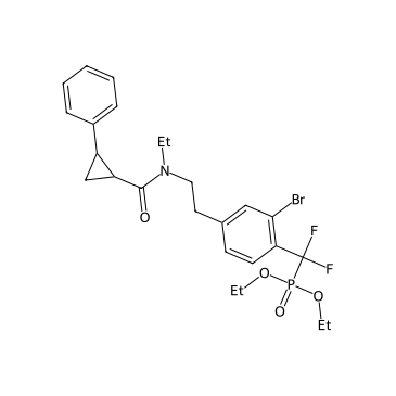 CCOP(=O)(OCC)C(F)(F)c1ccc(CCN(CC)C(=O)C2CC2c2ccccc2)cc1Br